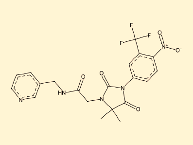 CC1(C)C(=O)N(c2ccc([N+](=O)[O-])c(C(F)(F)F)c2)C(=O)N1CC(=O)NCc1cccnc1